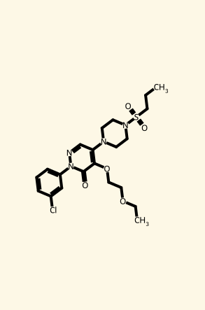 CCCS(=O)(=O)N1CCN(c2cnn(-c3cccc(Cl)c3)c(=O)c2OCCOCC)CC1